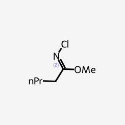 CCCC/C(=N/Cl)OC